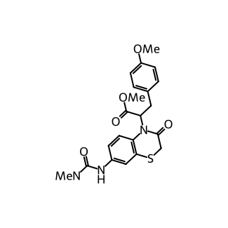 CNC(=O)Nc1ccc2c(c1)SCC(=O)N2C(Cc1ccc(OC)cc1)C(=O)OC